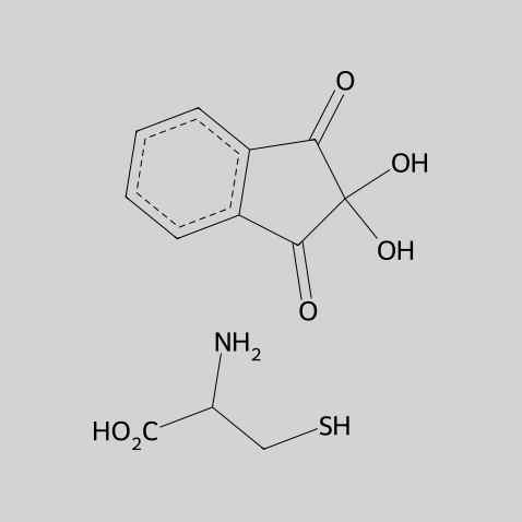 NC(CS)C(=O)O.O=C1c2ccccc2C(=O)C1(O)O